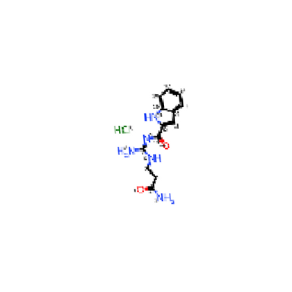 Cl.NC(=O)CCNC(N)=NC(=O)c1cc2ccccc2[nH]1